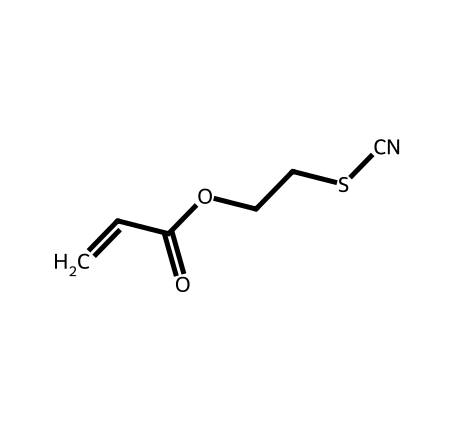 C=CC(=O)OCCSC#N